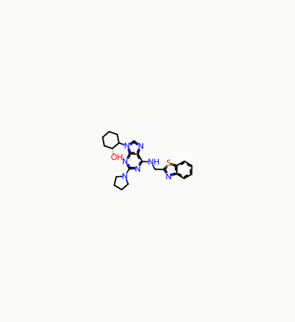 O[C@@H]1CCCCC1n1cnc2c(NCc3nc4ccccc4s3)nc(N3CCCC3)nc21